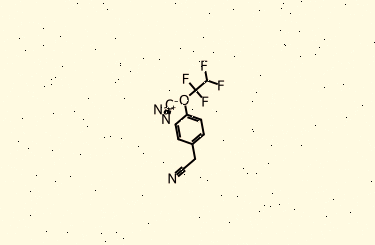 N#CCc1ccc(OC(F)(F)C(F)F)cc1.[C-]#N.[Na+]